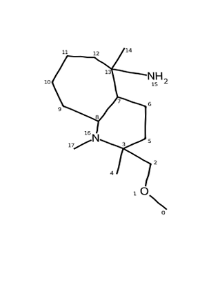 COCC1(C)CCC2C(CCCCC2(C)N)N1C